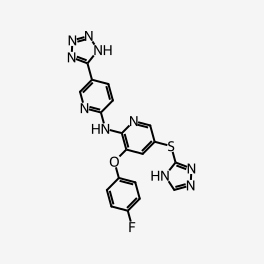 Fc1ccc(Oc2cc(Sc3nnc[nH]3)cnc2Nc2ccc(-c3nnn[nH]3)cn2)cc1